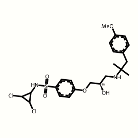 COc1ccc(CC(C)(C)NC[C@@H](O)COc2ccc(S(=O)(=O)NC3C(Cl)C3Cl)cc2)cc1